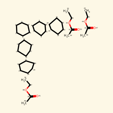 C1CCCCC1.C1CCCCC1.C1CCCCC1.C1CCCCC1.C1CCCCC1.CCOC(C)=O.CCOC(C)=O.CCOC(C)=O